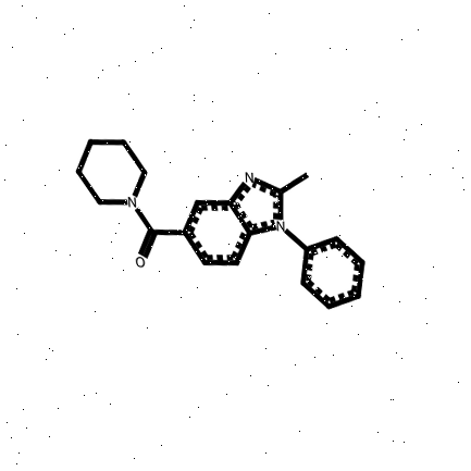 Cc1nc2cc(C(=O)N3CCCCC3)ccc2n1-c1ccccc1